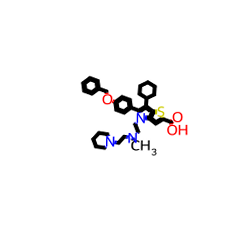 CN(CCN1CCCCC1)CCn1c(-c2ccc(OCc3ccccc3)cc2)c(C2CCCCC2)c2sc(C(=O)O)cc21